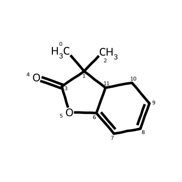 CC1(C)C(=O)OC2=CC=CCC21